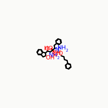 NC(C(=O)C1c2ccccc2CC1O)C(O)(O)C(Cc1ccccc1)N(N)C(=O)OCCCCc1ccccc1